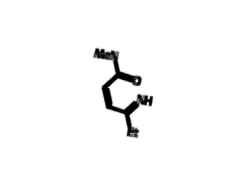 CCC(=N)/C=C\C(=O)NC